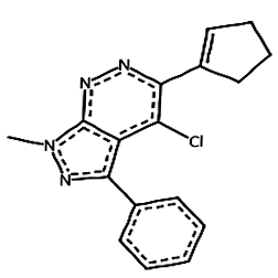 Cn1nc(-c2ccccc2)c2c(Cl)c(C3=CCCC3)nnc21